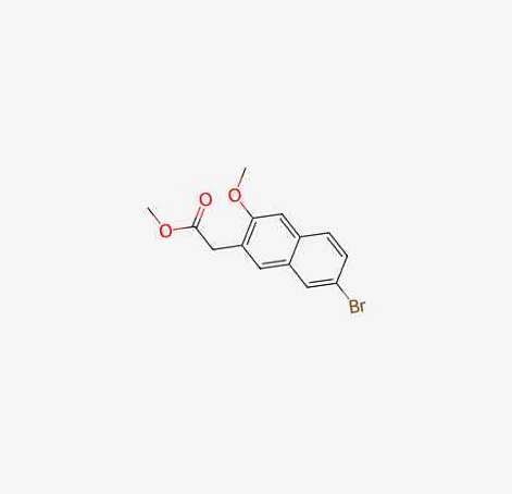 COC(=O)Cc1cc2cc(Br)ccc2cc1OC